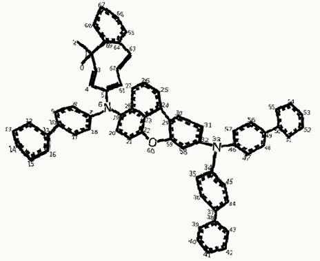 CC1(C)/C=C/C(N(c2ccc(-c3ccccc3)cc2)c2ccc3c4c(cccc24)-c2ccc(N(c4ccc(-c5ccccc5)cc4)c4ccc(-c5ccccc5)cc4)cc2O3)=C\C=C\c2ccccc21